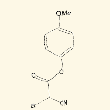 CCC(C#N)C(=O)Oc1ccc(OC)cc1